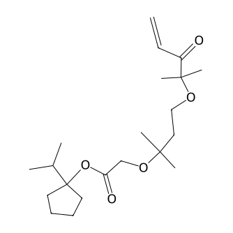 C=CC(=O)C(C)(C)OCCC(C)(C)OCC(=O)OC1(C(C)C)CCCC1